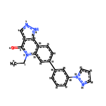 CCn1c(=O)c2cn[nH]c2c2ccc(-c3cccc(-n4cccn4)c3)cc21